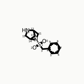 O=S(=O)(Cc1ccccc1)N1CC2CC1CN2